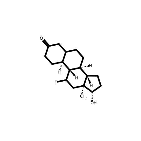 C[C@]12CC(F)[C@H]3[C@@H](CCC4CC(=O)CC[C@@H]43)[C@@H]1CC[C@@H]2O